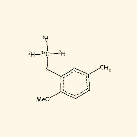 [1H][13C]([2H])([2H])Sc1cc(C)ccc1OC